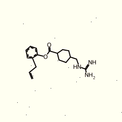 C=CCc1ccccc1OC(=O)C1CCC(CNC(=N)N)CC1